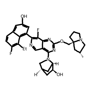 CCc1c(F)ccc2cc(O)cc(-c3ncc4c(N5C[C@H]6C[C@@H]5[C@@H](O)C6)nc(OC[C@@]56CCCN5C[C@H](C)C6)nc4c3F)c12